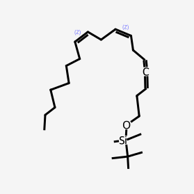 CCCCCCC/C=C\C/C=C\CC=C=CCCO[Si](C)(C)C(C)(C)C